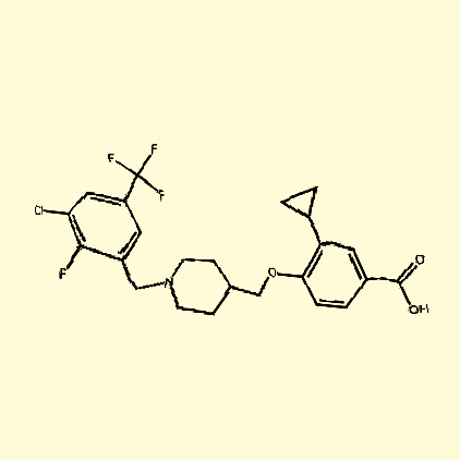 O=C(O)c1ccc(OCC2CCN(Cc3cc(C(F)(F)F)cc(Cl)c3F)CC2)c(C2CC2)c1